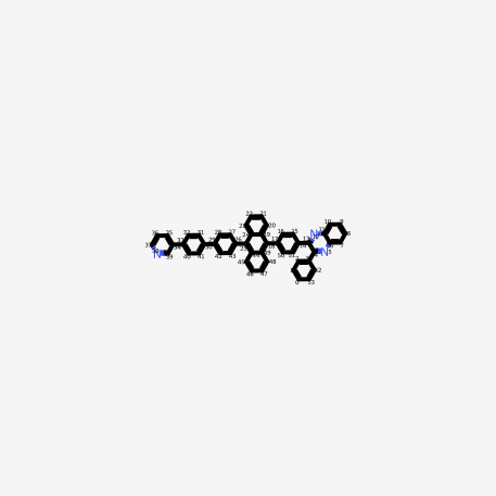 c1ccc(-c2nc3ccccc3nc2-c2ccc(-c3c4ccccc4c(-c4ccc(-c5ccc(-c6cccnc6)cc5)cc4)c4ccccc34)cc2)cc1